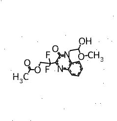 COC(O)Cn1c(=O)c(C(F)(F)COC(C)=O)nc2ccccc21